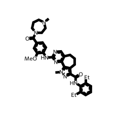 CCc1cccc(CC)c1NC(=O)c1nn(C)c2c1CCCc1cnc(Nc3ccc(C(=O)N4CCCN(C)CC4)cc3OC)nc1-2